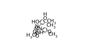 COc1ccc(-n2c(NS(C)(=O)=O)nnc2-c2cc(C(C)C)c(O)cc2O)cc1